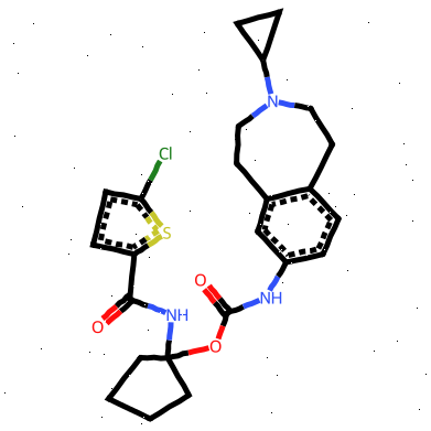 O=C(Nc1ccc2c(c1)CCN(C1CC1)CC2)OC1(NC(=O)c2ccc(Cl)s2)CCCC1